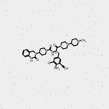 C#Cc1cc(C[C@@H](NC(=O)N2CCC(N3Cc4ccccc4NC3=O)CC2)C(=O)N2CCN(C3CCN(C)CC3)CC2)cc(Cl)c1N